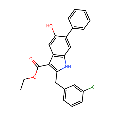 CCOC(=O)c1c(Cc2cccc(Cl)c2)[nH]c2cc(-c3ccccc3)c(O)cc12